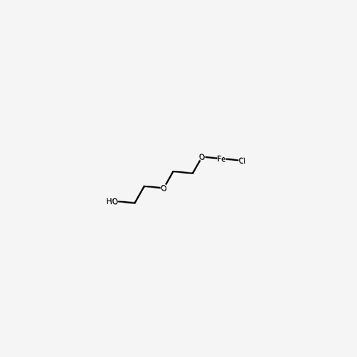 OCCOCC[O][Fe][Cl]